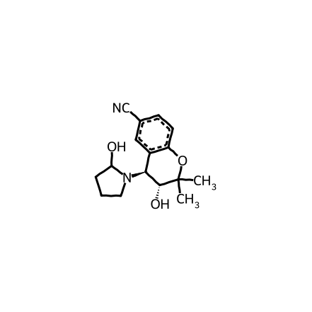 CC1(C)Oc2ccc(C#N)cc2[C@H](N2CCCC2O)[C@H]1O